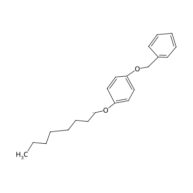 CCCCCCC[CH]Oc1ccc(OCc2ccccc2)cc1